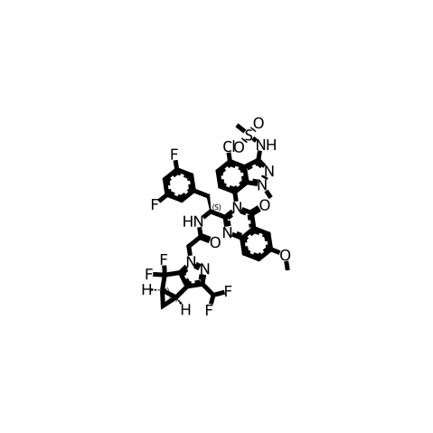 COc1ccc2nc([C@H](Cc3cc(F)cc(F)c3)NC(=O)Cn3nc(C(F)F)c4c3C(F)(F)[C@@H]3C[C@H]43)n(-c3ccc(Cl)c4c(NS(C)(=O)=O)nn(C)c34)c(=O)c2c1